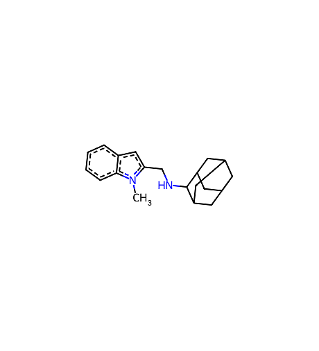 Cn1c(CNC2C3CC4CC(C3)CC2C4)cc2ccccc21